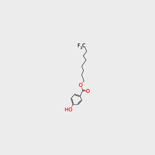 O=C(OCCCCCCCC(F)(F)F)c1ccc(O)cc1